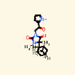 CN1C(=O)N(CC(=O)c2ccc[nH]2)C(=O)C1(C)[C@H]1CC[C@H]2C[C@@H]1C2(C)C